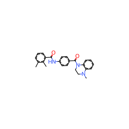 Cc1cccc(C(=O)Nc2ccc(C(=O)N3CCN(C)c4ccccc43)cc2)c1C